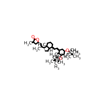 C=C1C[C@H](C[C@@H](C)[C@H]2CC[C@H]3/C(=C/C=C4/C[C@@H](O[Si](C)(C)C(C)(C)C)C[C@H](O[Si](C)(C)C(C)(C)C)C4=C)CCC[C@]23C)OC1=O